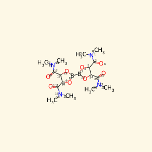 CN(C)C(=O)C1OB(B2OC(C(=O)N(C)C)C(C(=O)N(C)C)O2)OC1C(=O)N(C)C